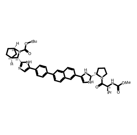 COC(=O)N[C@H](C(=O)N1CCC[C@H]1C1NC=C(c2ccc3cc(-c4ccc(-c5cnc([C@@H]6[C@H]7CC[C@H](C7)N6C(=O)OC(C)(C)C)[nH]5)cc4)ccc3c2)N1)C(C)C